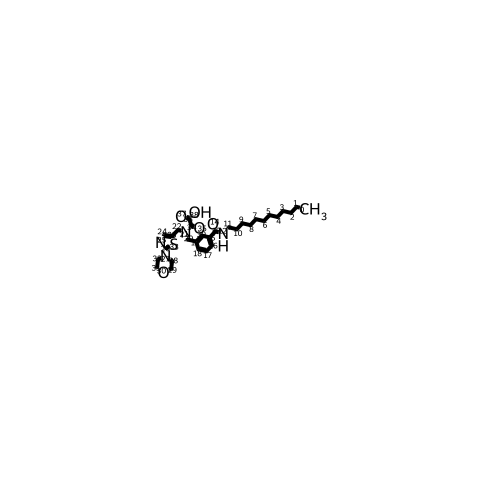 CCCCCCCCCCCCNC(=O)c1cccc(CN(Cc2cnc(N3CCOCC3)s2)C(=O)C(=O)O)c1